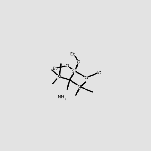 CCO[Si](OCC)(OCC)C(C)([Si](C)(C)C)[Si](C)(C)C.N